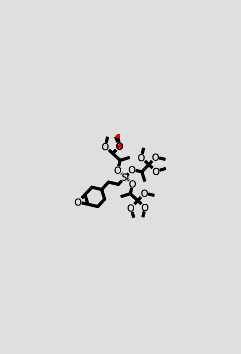 COC(OC)(OC)C(C)O[Si](CCC1CCC2OC2C1)(OC(C)C(OC)(OC)OC)OC(C)C(OC)(OC)OC